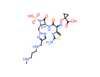 CNCCCNCc1cnn(C[C@@H]2[C@H](NC(=O)/C(=N\OC3(C(=O)O)CC3)c3csc(N)n3)C(=O)N2S(=O)(=O)O)n1